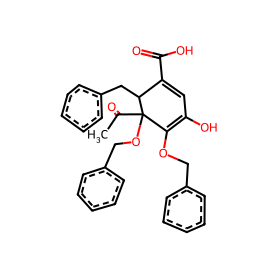 CC(=O)C1(OCc2ccccc2)C(OCc2ccccc2)=C(O)C=C(C(=O)O)C1Cc1ccccc1